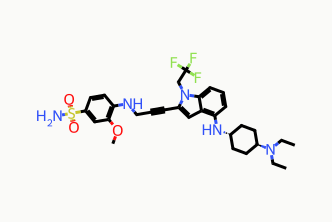 CCN(CC)[C@H]1CC[C@H](Nc2cccc3c2cc(C#CCNc2ccc(S(N)(=O)=O)cc2OC)n3CC(F)(F)F)CC1